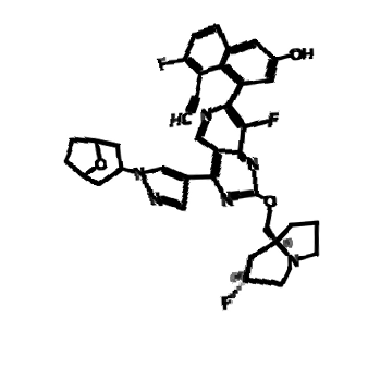 C#Cc1c(F)ccc2cc(O)cc(-c3ncc4c(-c5cnn(C6CC7CCC(C6)O7)c5)nc(OC[C@@]56CCCN5C[C@H](F)C6)nc4c3F)c12